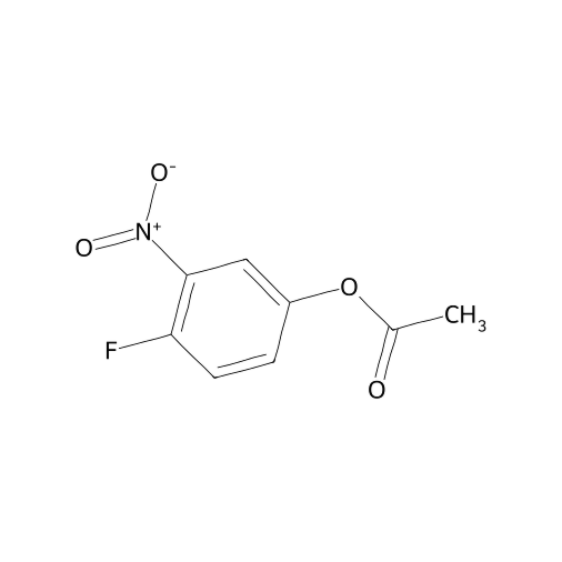 CC(=O)Oc1ccc(F)c([N+](=O)[O-])c1